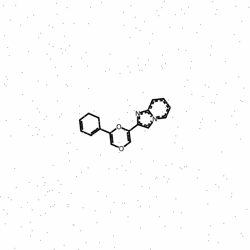 C1=CCCC(C2=COC=C(c3cn4ccccc4n3)O2)=C1